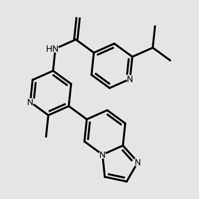 C=C(Nc1cnc(C)c(-c2ccc3nccn3c2)c1)c1ccnc(C(C)C)c1